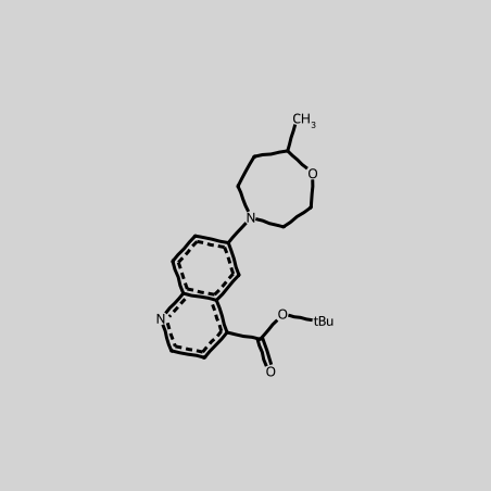 CC1CCN(c2ccc3nccc(C(=O)OC(C)(C)C)c3c2)CCO1